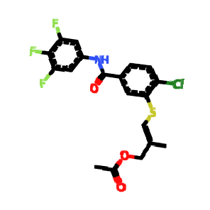 CC(=O)OC/C(C)=C/Sc1cc(C(=O)Nc2cc(F)c(F)c(F)c2)ccc1Cl